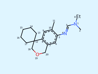 CCN(C)/C=N/c1cc2c(cc1C)C1(CCCCC1)COC2